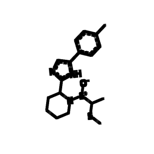 CSC(C)[S+]([O-])N1CCCCC1c1ncc(-c2ccc(C)cc2)[nH]1